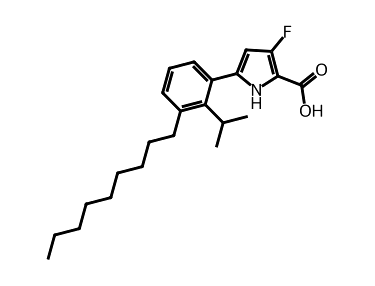 CCCCCCCCCc1cccc(-c2cc(F)c(C(=O)O)[nH]2)c1C(C)C